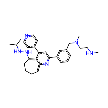 CNCCN(C)Cc1cccc(-c2cc(-c3ccncc3)c3c(n2)=CCCCC=3NNC(C)C)c1